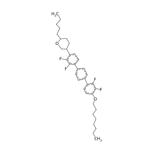 CCCCCCCCOc1ccc(-c2ccc(-c3ccc(C4CCC(CCCCC)OC4)c(F)c3F)cc2)c(F)c1F